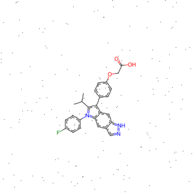 CC(C)c1c(-c2ccc(OCC(=O)O)cc2)c2cc3[nH]ncc3cc2n1-c1ccc(F)cc1